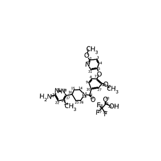 COc1ccc(Oc2ccc(C(=O)N3CCC(c4nnc(N)cc4C)CC3)cc2OC)cn1.O=C(O)C(F)(F)F